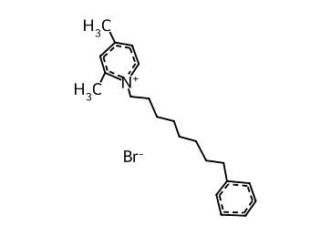 Cc1cc[n+](CCCCCCCCc2ccccc2)c(C)c1.[Br-]